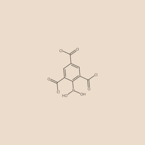 O=C(Cl)c1cc(C(=O)Cl)c(N(O)O)c(C(=O)Cl)c1